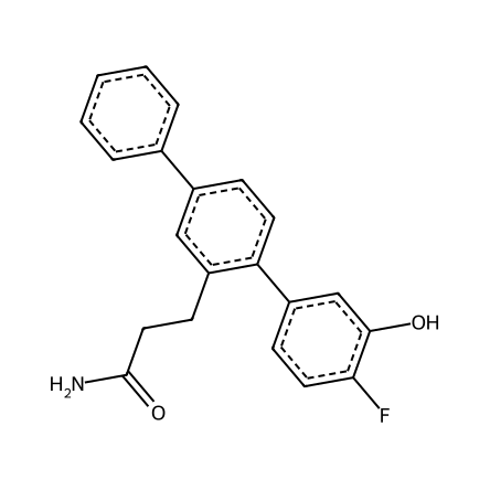 NC(=O)CCc1cc(-c2ccccc2)ccc1-c1ccc(F)c(O)c1